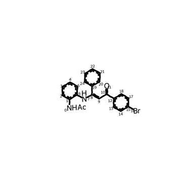 CC(=O)Nc1ccccc1NC(=CC(=O)c1ccc(Br)cc1)c1ccccc1